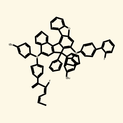 C=C(/C(F)=C\C=C/C)c1ccc(N(c2ccc(C(C)(C)C)cc2)c2cc3c(c4ccccc24)-c2c(c(N(c4ccc(-c5ccccc5F)cc4)c4ccc(C(C)(C)C)cc4)cc4oc5ccccc5c24)C3(c2ccccc2)c2ccccc2)cc1